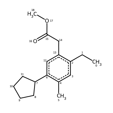 CCc1cc(C)c(C2CCCC2)cc1CC(=O)OC